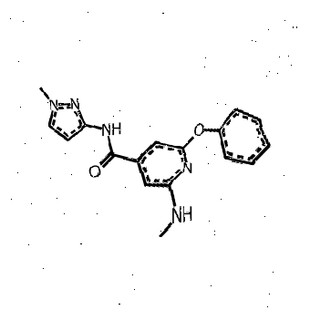 CNc1cc(C(=O)Nc2ccn(C)n2)cc(Oc2ccccc2)n1